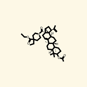 C=C(C)[C@@H]1CC[C@]2(C(=O)N3CCC(CC)(C(=O)OCC)CC3)CC=C3[C@H](CC[C@@H]4[C@@]5(C)CCC(OC(C)=O)C(C)(C)[C@@H]5CC[C@@]34C)[C@@H]12